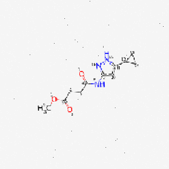 COC(=O)CCC(=O)Nc1cc(C2CC2)[nH]n1